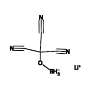 [BH3-]OC(C#N)(C#N)C#N.[Li+]